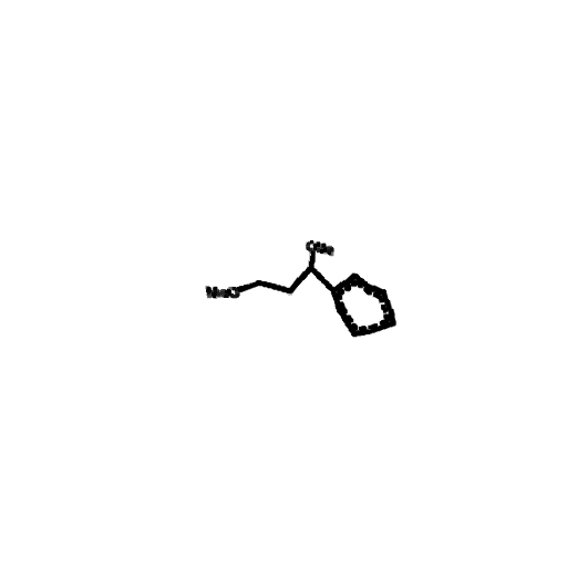 COC[CH]C(OC)c1ccccc1